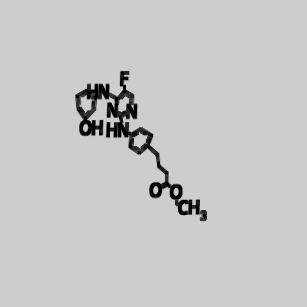 CCOC(=O)CCCc1ccc(Nc2ncc(F)c(Nc3cccc(O)c3)n2)cc1